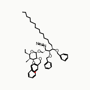 CCCCCCCCCCCCCC[C@@H](OCc1ccccc1)[C@@H](OCc1ccccc1)[C@H](CO[C@H]1O[C@H](CC)[C@H](C)[C@H](OCc2ccccc2)[C@H]1OCc1ccccc1)N=[N+]=[N-]